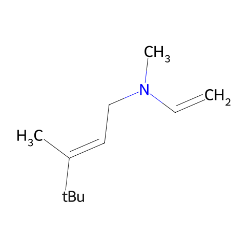 C=CN(C)C/C=C(\C)C(C)(C)C